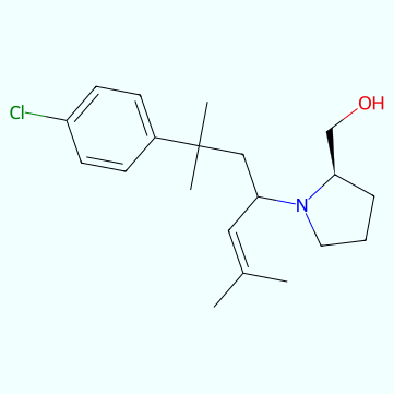 CC(C)=CC(CC(C)(C)c1ccc(Cl)cc1)N1CCC[C@@H]1CO